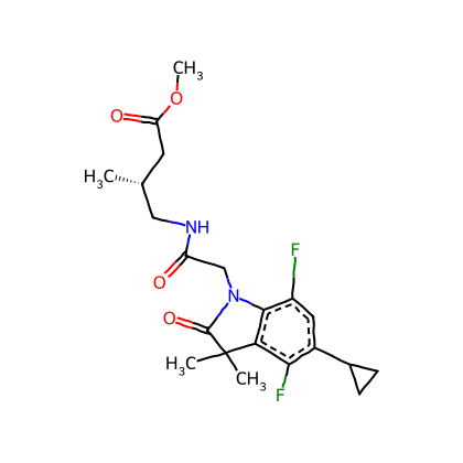 COC(=O)C[C@@H](C)CNC(=O)CN1C(=O)C(C)(C)c2c(F)c(C3CC3)cc(F)c21